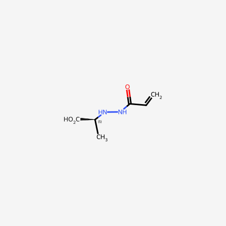 C=CC(=O)NN[C@@H](C)C(=O)O